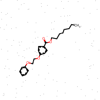 CCCCCCCCOC(=O)c1ccc(OCCOc2ccccc2)cc1